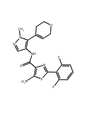 Cn1ncc(NC(=O)c2nc(-c3c(F)cccc3F)sc2N)c1C1=CCOCC1